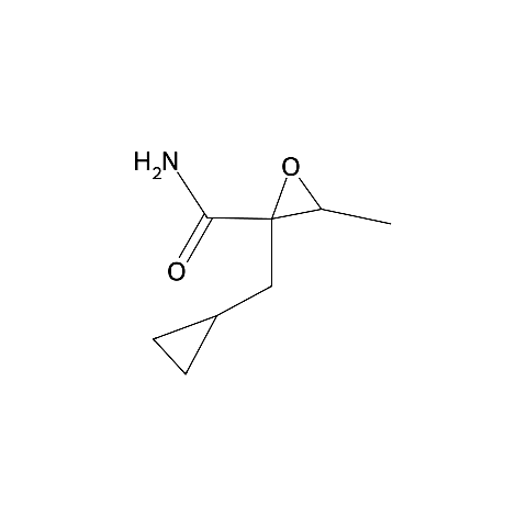 CC1OC1(CC1CC1)C(N)=O